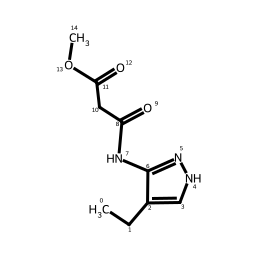 CCc1c[nH]nc1NC(=O)CC(=O)OC